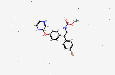 CC(C)(C)OC(=O)NCC(c1ccc(Br)cc1)c1ccc(Oc2cnccn2)cc1